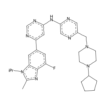 Cc1nc2c(F)cc(-c3cc(Nc4cnc(CN5CCN(C6CCCC6)CC5)cn4)ncn3)cc2n1C(C)C